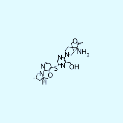 C[C@@H]1OCC2(CCN(c3ncc(Sc4ccnc5c4OC[C@@H]4C[CH]CN54)nc3CO)CC2)[C@@H]1N